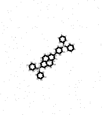 c1ccc(N(c2ccccc2)c2ccc(-c3cc4ccc5cc(N(c6ccccc6)c6ccccc6)cc6ccc(c3)c4c56)cc2)cc1